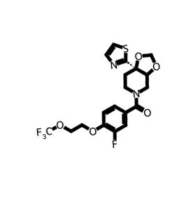 O=C(c1ccc(OCCOC(F)(F)F)c(F)c1)N1CC[C@@]2(c3nccs3)OCOC2C1